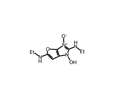 CCNc1cc2c(o1)[n+]([O-])c(NCC)n2O